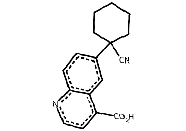 N#CC1(c2ccc3nccc(C(=O)O)c3c2)CCCCC1